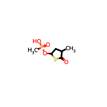 CC1CC(OP(C)(=O)O)SC1=O